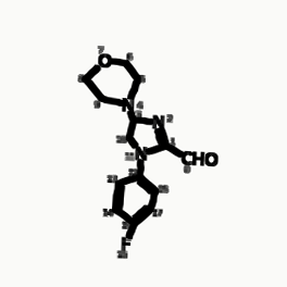 O=CC1=NC(N2CCOCC2)CN1c1ccc(F)cc1